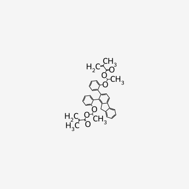 C=C(C)C(=O)OC(C)Oc1ccccc1-c1ccc2c(c1-c1ccccc1OC(C)OC(=O)C(=C)C)Cc1ccccc1-2